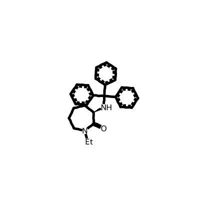 CCN1CCCC[C@@H](NC(c2ccccc2)(c2ccccc2)c2ccccc2)C1=O